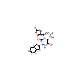 CCC(C)[C@@H]1C(=O)N[C@H](C2Cc3ccccc3C2)C(=O)N1C(C(=O)O)c1coc(C)n1